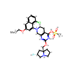 COCOc1cc(N2CCc3c(nc(OC[C@@]45CCCN4C[C@H](F)C5)nc3OS(=O)(=O)C(F)(F)F)C2)c2c(Cl)cccc2c1